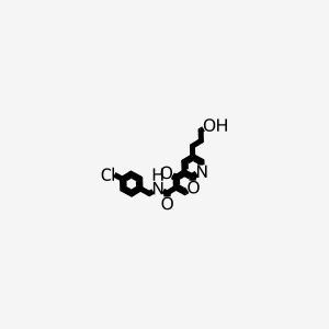 O=C(NCc1ccc(Cl)cc1)c1coc2ncc(CCCO)cc2c1=O